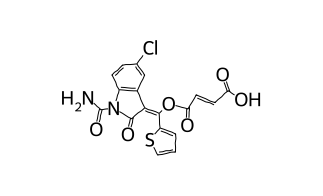 NC(=O)N1C(=O)C(=C(OC(=O)C=CC(=O)O)c2cccs2)c2cc(Cl)ccc21